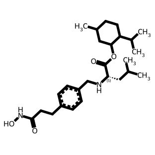 CC(C)C[C@H](NCc1ccc(CCC(=O)NO)cc1)C(=O)OC1CC(C)CCC1C(C)C